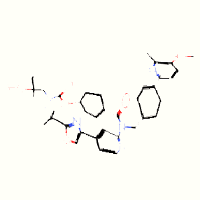 COc1ccc([C@H]2CC[C@H](CN(c3cc(-c4coc(C(C)C)n4)ccn3)C(=O)[C@H]3CC[C@H](OC(=O)NCC(C)(C)O)CC3)CC2)nc1C